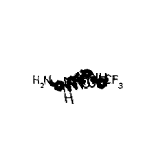 Cc1ccc(NC(=O)c2cccc(C(F)(F)F)c2)cc1-n1c(C)c2cnc(Nc3ccc(CCN)cc3)nc2nc1=O